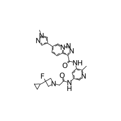 Cc1ncc(NC(=O)CN2CC(F)(C3CC3)C2)cc1NC(=O)c1nnn2cc(-c3cnn(C)c3)ccc12